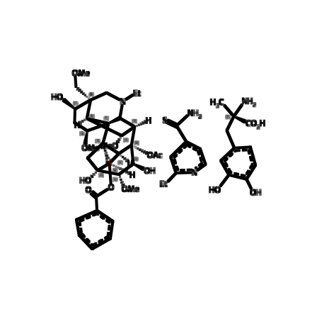 CCN1C[C@]2(COC)[C@H](O)C[C@H](OC)[C@]34C1[C@H]([C@H](OC)[C@H]23)[C@]1(OC(C)=O)[C@H]2[C@@H](OC(=O)c3ccccc3)[C@](O)(C[C@H]24)[C@@H](OC)[C@@H]1O.CCc1cc(C(N)=S)ccn1.C[C@](N)(Cc1ccc(O)c(O)c1)C(=O)O